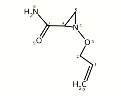 C=CCON1CC1C(N)=O